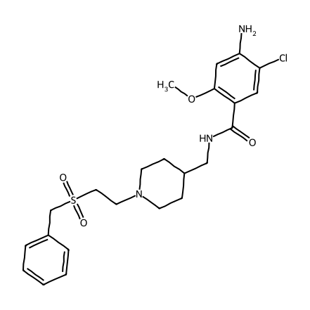 COc1cc(N)c(Cl)cc1C(=O)NCC1CCN(CCS(=O)(=O)Cc2ccccc2)CC1